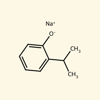 CC(C)c1ccccc1[O-].[Na+]